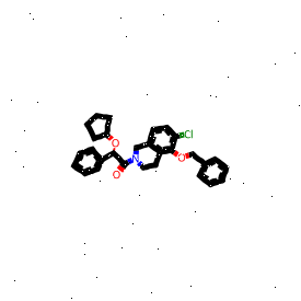 O=C([C@@H](OC1CCCC1)c1ccccc1)N1CCc2c(ccc(Cl)c2OCc2ccccc2)C1